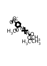 COc1cc([N+](=O)[O-])ccc1N1CC2(CN(C(=O)OC(C)(C)C)C2)C1